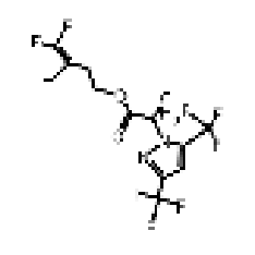 CC(C(=O)OCCC(F)=C(F)F)n1nc(C(F)(F)F)cc1C(F)(F)F